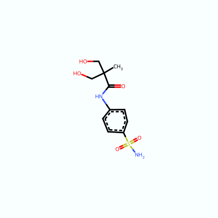 CC(CO)(CO)C(=O)Nc1ccc(S(N)(=O)=O)cc1